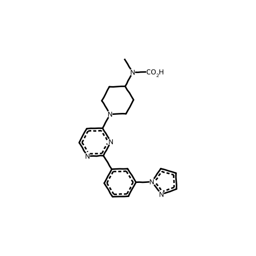 CN(C(=O)O)C1CCN(c2ccnc(-c3cccc(-n4cccn4)c3)n2)CC1